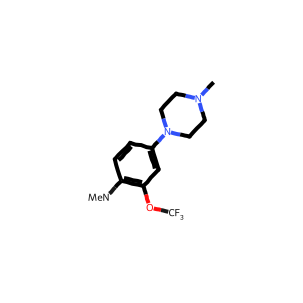 CNc1ccc(N2CCN(C)CC2)cc1OC(F)(F)F